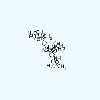 CC(C)OC(=O)Nc1ccc(-c2cnc(C3CCC(N(C)C(=O)OC(C)(C)C)CC3)s2)c(S(=O)(=O)NC(C)(C)C)c1